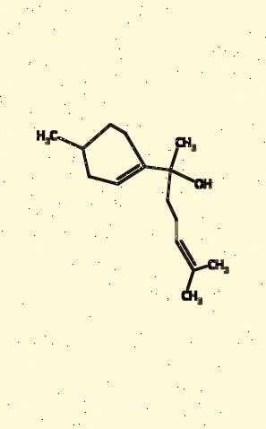 CC(C)=CCCC(C)(O)C1=CCC(C)CC1